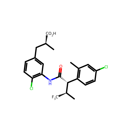 Cc1cc(Cl)ccc1[C@@H](C(=O)Nc1cc(C[C@H](C)C(=O)O)ccc1Cl)[C@@H](C)C(F)(F)F